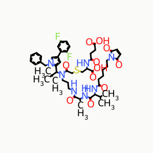 CC(NC(=O)C(NC(=O)CCCCCN1C(=O)C=CC1=O)C(C)C)C(=O)NCCCN(C(=O)CSCC(NC(=O)CCC(=O)O)C(=O)O)C(c1cc(-c2cc(F)ccc2F)cn1Cc1ccccc1)C(C)(C)C